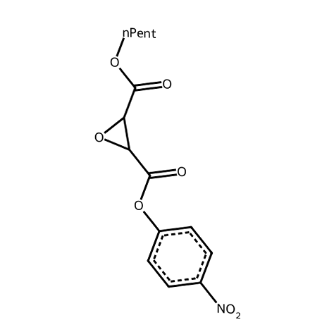 CCCCCOC(=O)C1OC1C(=O)Oc1ccc([N+](=O)[O-])cc1